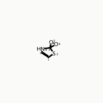 C1=CSC2(N1)OO2